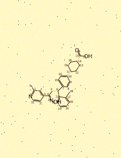 Cc1cc(/C(C[C@H](c2ccc([C@H]3CC[C@@H](C(=O)O)CC3)cc2)c2ccccc2C)=N/O)ccn1